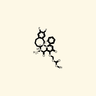 CC(C)OC(=O)OCOc1c2n(ccc1=O)N1[C@@H](c3ccccc3)c3cc(F)c(F)cc3CCC[C@@H]1N(C)C2=O